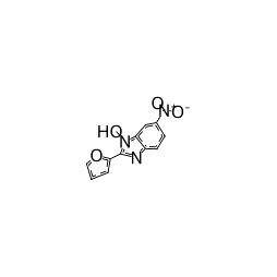 O=[N+]([O-])c1ccc2nc(-c3ccco3)n(O)c2c1